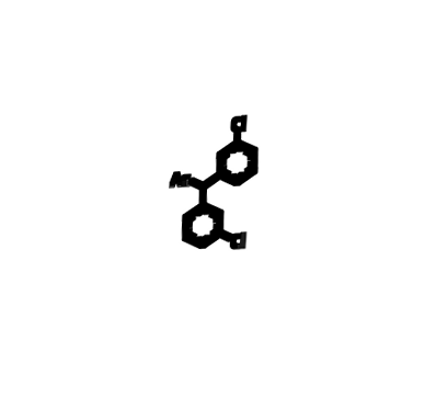 CC(=O)C(c1cccc(Cl)c1)c1cccc(Cl)c1